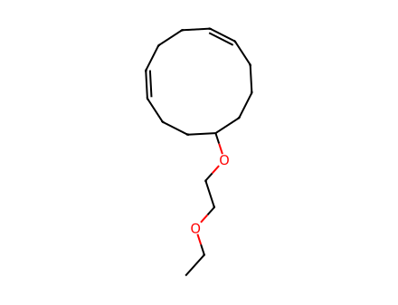 CCOCCOC1CCC=CCCC=CCCC1